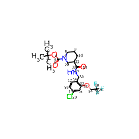 CC(C)(C)OC(=O)N1CCCC(C(=O)NCc2ccc(Cl)cc2OCC(F)(F)F)C1